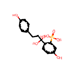 O=P(O)(O)c1cc(O)ccc1C(O)(O)CCc1ccc(O)cc1